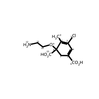 CC1=C(Cl)C=C(C(=O)O)CC1(OCCN)C(=O)O